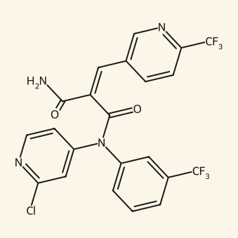 NC(=O)/C(=C/c1ccc(C(F)(F)F)nc1)C(=O)N(c1cccc(C(F)(F)F)c1)c1ccnc(Cl)c1